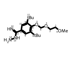 COCCOCOc1c(C(C)(C)C)cc(C(=N)NN)cc1C(C)(C)C